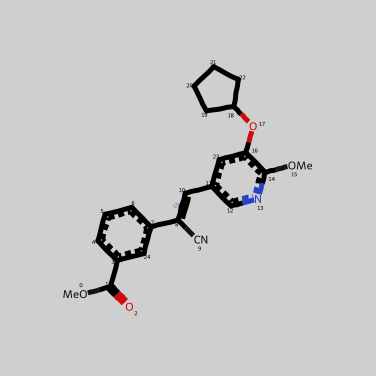 COC(=O)c1cccc(/C(C#N)=C/c2cnc(OC)c(OC3CCCC3)c2)c1